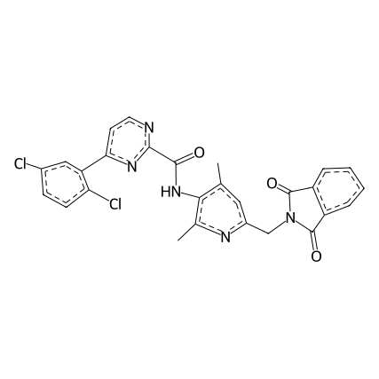 Cc1cc(CN2C(=O)c3ccccc3C2=O)nc(C)c1NC(=O)c1nccc(-c2cc(Cl)ccc2Cl)n1